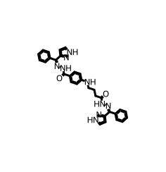 O=C(CCCNc1ccc(C(=O)NN=C(c2ccccc2)c2cc[nH]n2)cc1)NN=C(c1ccccc1)c1cc[nH]n1